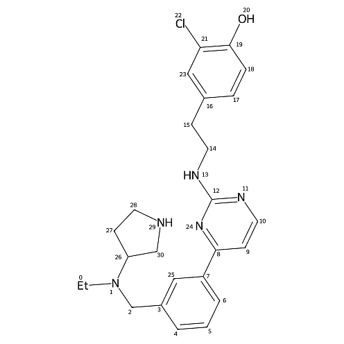 CCN(Cc1cccc(-c2ccnc(NCCc3ccc(O)c(Cl)c3)n2)c1)C1CCNC1